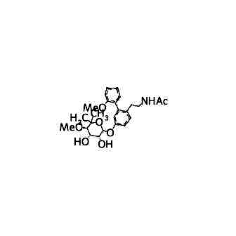 COc1ccccc1-c1cc(OC2OC(C)(C)[C@H](OC)[C@@H](O)[C@H]2O)ccc1CCNC(C)=O